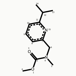 COC(=O)N(C)Cc1cccc(C(C)C)n1